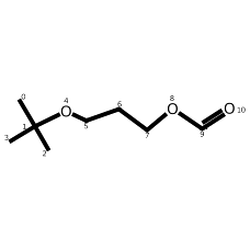 CC(C)(C)OCCCO[C]=O